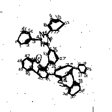 c1ccc(-c2nc(-c3ccccc3)nc(-c3cccc(-c4c(-c5ccc(-c6ccccc6)c6c5sc5ccccc56)ccc5c4oc4ccccc45)c3)n2)cc1